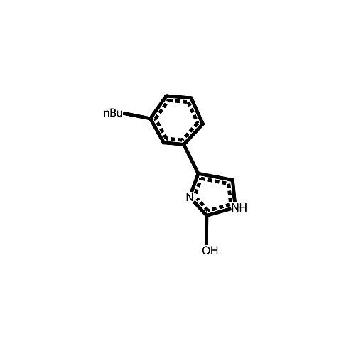 CCCCc1cccc(-c2c[nH]c(O)n2)c1